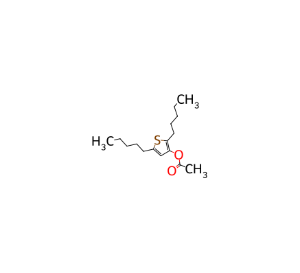 CCCCCc1cc(OC(C)=O)c(CCCCC)s1